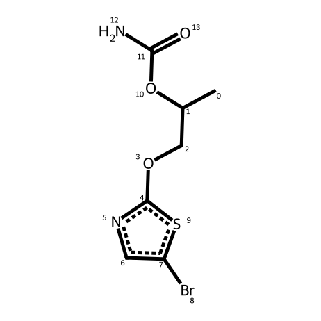 CC(COc1ncc(Br)s1)OC(N)=O